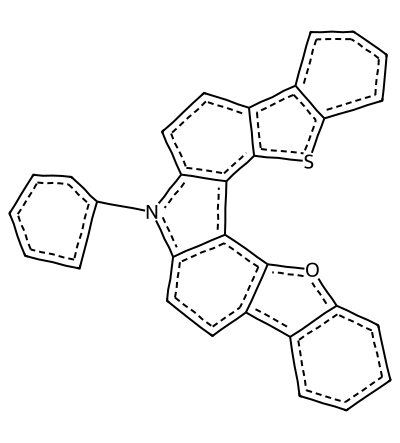 c1ccc(-n2c3ccc4c5ccccc5oc4c3c3c4sc5ccccc5c4ccc32)cc1